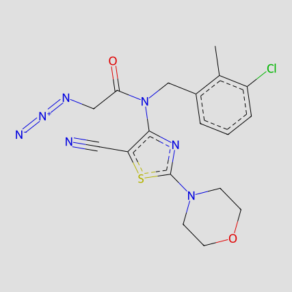 Cc1c(Cl)cccc1CN(C(=O)CN=[N+]=[N-])c1nc(N2CCOCC2)sc1C#N